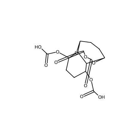 O=C(O)OC1CCC(OC(=O)O)C2C3CCC(OC(=O)OC(=O)O3)C12